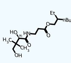 CCCCC(CC)COC(=O)CCNC(=O)[C@H](O)C(C)(C)CO